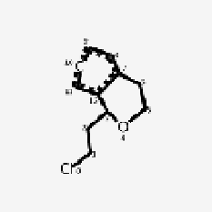 ClCCC1OCCc2ccccc21